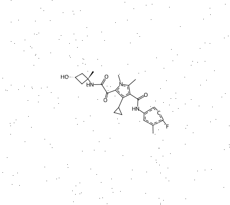 Cc1cc(NC(=O)c2c(C3CC3)c(C(=O)C(=O)N[C@]3(C)C[C@H](O)C3)n(C)c2C)ccc1F